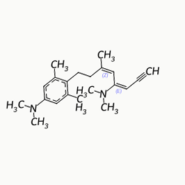 C#C/C=C(\C=C(\C)CCc1c(C)cc(N(C)C)cc1C)N(C)C